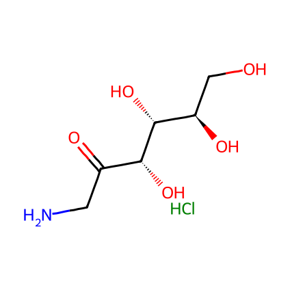 Cl.NCC(=O)[C@@H](O)[C@H](O)[C@H](O)CO